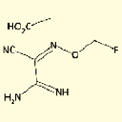 CC(=O)O.N#CC(=NOCF)C(=N)N